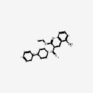 CCOC(=O)C(Cc1ccccc1O)C(=O)[C@H]1CC[C@H](C2C=CC=CC2)CC1